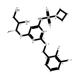 C[C@@H](Oc1cc(NS(=O)(=O)N2CCC2)nc(SCc2cccc(F)c2F)n1)C(O)CO